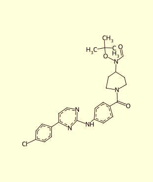 CC(C)(C)ON(C=O)C1CCN(C(=O)c2ccc(Nc3nccc(-c4ccc(Cl)cc4)n3)cc2)CC1